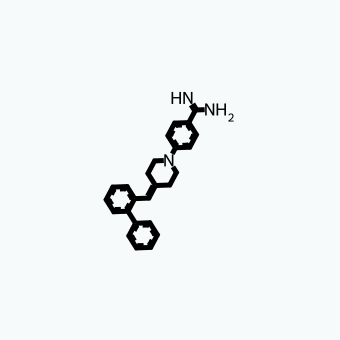 N=C(N)c1ccc(N2CCC(=Cc3ccccc3-c3ccccc3)CC2)cc1